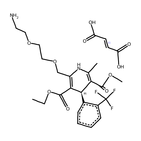 CCOC(=O)C1=C(COCCOCCN)NC(C)=C(C(=O)OC)[C@H]1c1ccccc1C(F)(F)F.O=C(O)/C=C/C(=O)O